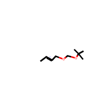 C/C=C/COCOC(C)(C)C